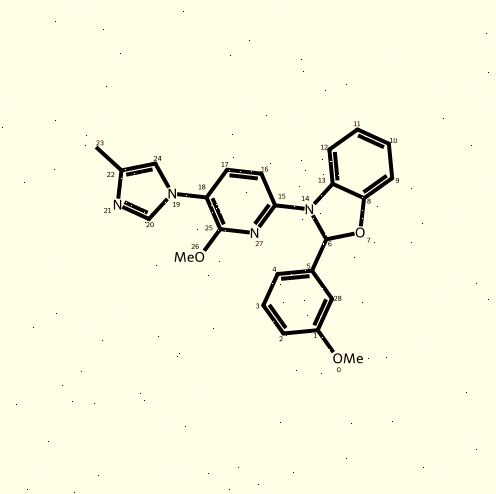 COc1cccc(C2Oc3ccccc3N2c2ccc(-n3cnc(C)c3)c(OC)n2)c1